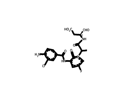 CC(C(=O)N[C@H](C=O)CC(=O)O)n1cc(F)cc(NC(=O)c2ccc(N)c(Cl)c2)c1=O